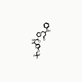 CC(NC(=O)[C@@H]1CCN(CC(CC=O)Nc2ccccc2)C1)c1ccc(OCC(F)(F)F)s1